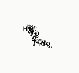 CCN(c1sc2c(c1C)C(=O)N(Cc1c(C)cc(C)[nH]c1=O)CC2)C1CCC(N2CC(OC3CC3)C2)CC1